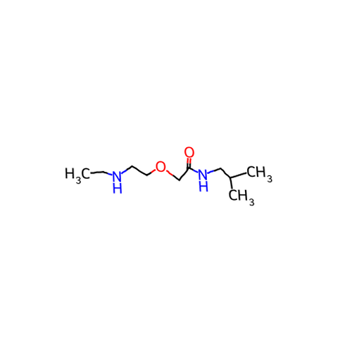 CCNCCOCC(=O)NCC(C)C